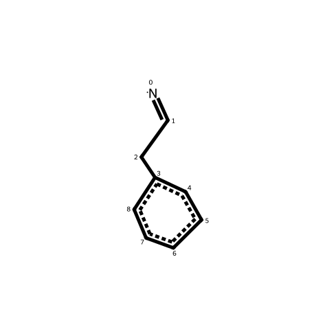 [N]=CCc1ccccc1